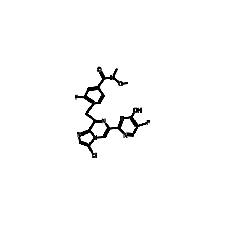 CON(C)C(=O)c1ccc(Cc2nc(-c3ncc(F)c(O)n3)cn3c(Cl)cnc23)c(F)c1